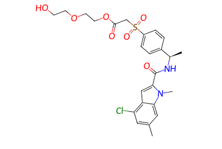 Cc1cc(Cl)c2cc(C(=O)N[C@H](C)c3ccc(S(=O)(=O)CC(=O)OCCOCCO)cc3)n(C)c2c1